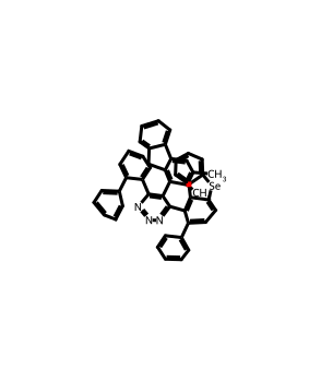 Cc1cc2c(c(-c3c(-c4ccccc4-c4ccccc4)nnnc3-c3c(-c4ccccc4)ccc4[se]c5ccccc5c34)c1C)Cc1ccccc1-2